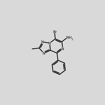 Cc1nc2c(-c3ccccc3)nc(N)c(Br)n2n1